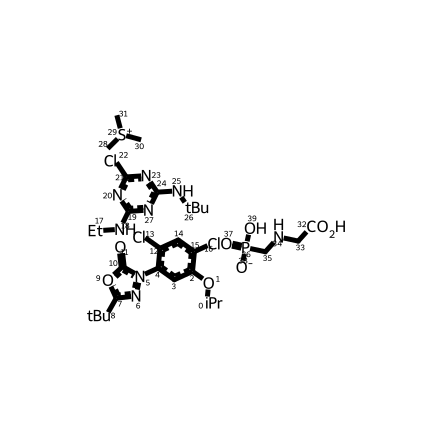 CC(C)Oc1cc(-n2nc(C(C)(C)C)oc2=O)c(Cl)cc1Cl.CCNc1nc(Cl)nc(NC(C)(C)C)n1.C[S+](C)C.O=C(O)CNCP(=O)([O-])O